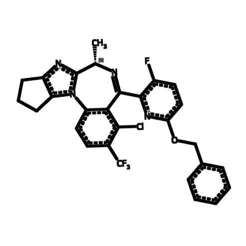 C[C@@H]1N=C(c2nc(OCc3ccccc3)ccc2F)c2c(ccc(C(F)(F)F)c2Cl)-n2c1nc1c2CCC1